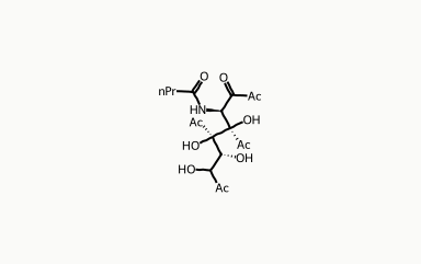 CCCC(=O)N[C@@H](C(=O)C(C)=O)[C@](O)(C(C)=O)[C@@](O)(C(C)=O)[C@H](O)C(O)C(C)=O